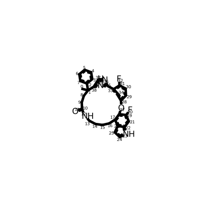 CC1(c2ccccc2)CCC(=O)NCCCCc2c(c(F)cc3[nH]ccc23)Oc2ccc(F)c(c2)-c2ncc1[nH]2